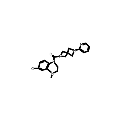 CN1CCN(C(=O)N2CC3(C2)CN(c2ccccn2)C3)c2ccc(Cl)cc21